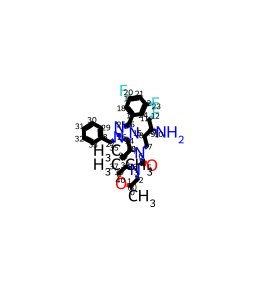 C[C@@H]1CN(C(=O)N(CC[C@H](N)CF)[C@@H](c2nc(-c3cc(F)cc(F)c3)nn2Cc2ccccc2)C(C)(C)C)CCO1